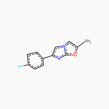 Cc1cn2cc(-c3ccc(F)cc3)nc2o1